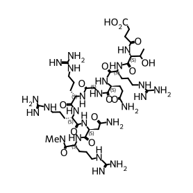 CNC(=O)[C@H](CCCNC(=N)N)NC(=O)[C@H](CC(N)=O)NC(=O)[C@H](CCCNC(=N)N)NC(=O)[C@H](CCCNC(=N)N)NC(=O)[C@H](C)NC(=O)[C@H](CCC(N)=O)NC(=O)[C@H](CCCNC(=N)N)NC(=O)[C@@H](NC(=O)CCC(=O)O)C(C)O